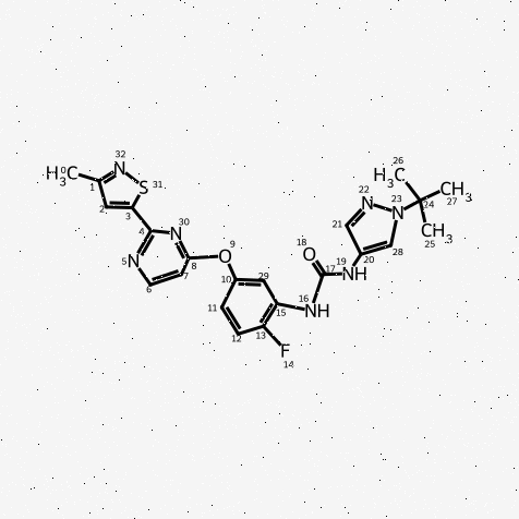 Cc1cc(-c2nccc(Oc3ccc(F)c(NC(=O)Nc4cnn(C(C)(C)C)c4)c3)n2)sn1